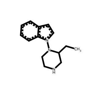 CCC1CNCCN1n1ccc2ccccc21